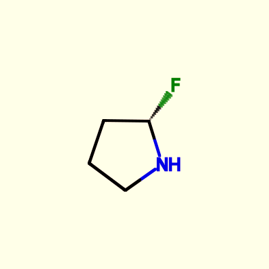 F[C@H]1CCCN1